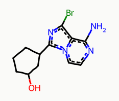 Nc1nccn2c(C3CCCC(O)C3)nc(Br)c12